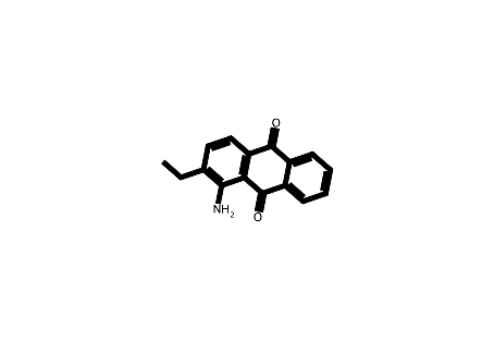 CCc1ccc2c(c1N)C(=O)c1ccccc1C2=O